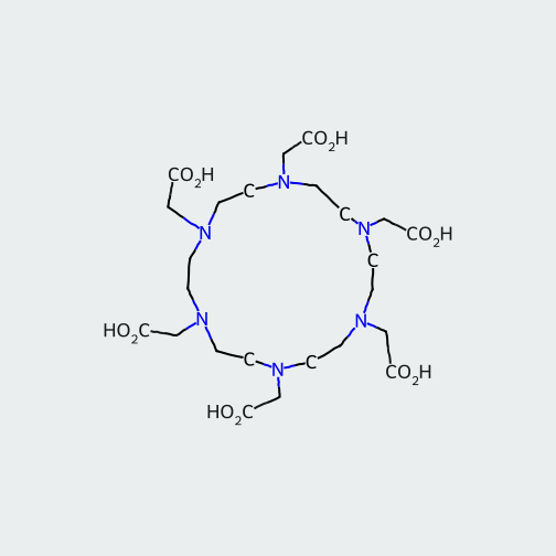 O=C(O)CN1CCN(CC(=O)O)CCN(CC(=O)O)CCN(CC(=O)O)CCN(CC(=O)O)CCN(CC(=O)O)CC1